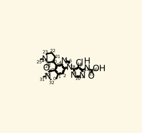 Cc1cc2c(ncn2-c2ncnc(NC(=O)O)c2Cl)c(C2CCCN(C)C2)c1C(=O)N(C)C